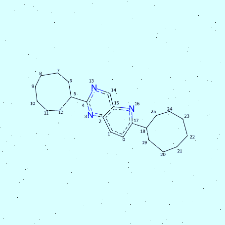 c1cc2nc(C3CCCCCCC3)ncc2nc1C1CCCCCCC1